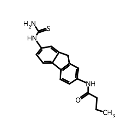 CCCC(=O)Nc1ccc2c(c1)Cc1cc(NC(N)=S)ccc1-2